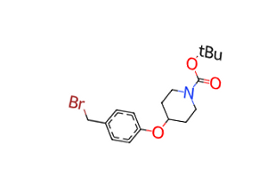 CC(C)(C)OC(=O)N1CCC(Oc2ccc(CBr)cc2)CC1